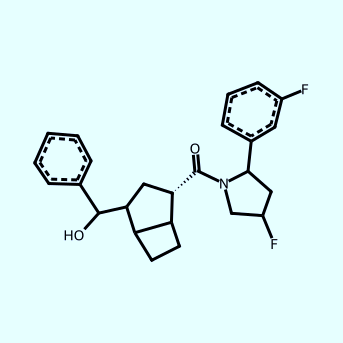 O=C([C@H]1CC(C(O)c2ccccc2)C2CCC21)N1CC(F)CC1c1cccc(F)c1